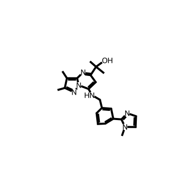 Cc1nn2c(NCc3cccc(-c4nccn4C)c3)cc(C(C)(C)O)nc2c1C